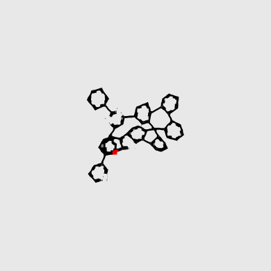 c1ccc(-c2nc(-c3ccc(-c4cccnc4)cc3)cc(-c3ccc4c(c3)C3(c5ccccc5-c5ccccc5-4)c4ccccc4-c4c3ccc3c4oc4ccccc43)n2)cc1